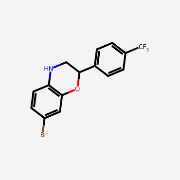 FC(F)(F)c1ccc(C2CNc3ccc(Br)cc3O2)cc1